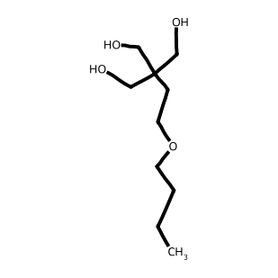 CCCCOCCC(CO)(CO)CO